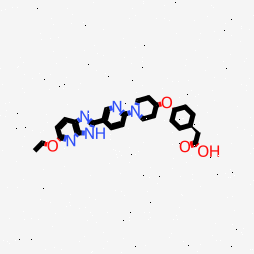 CCOc1ccc2nc(-c3ccc(N4CCC(O[C@H]5CC[C@H](CC(=O)O)CC5)CC4)nc3)[nH]c2n1